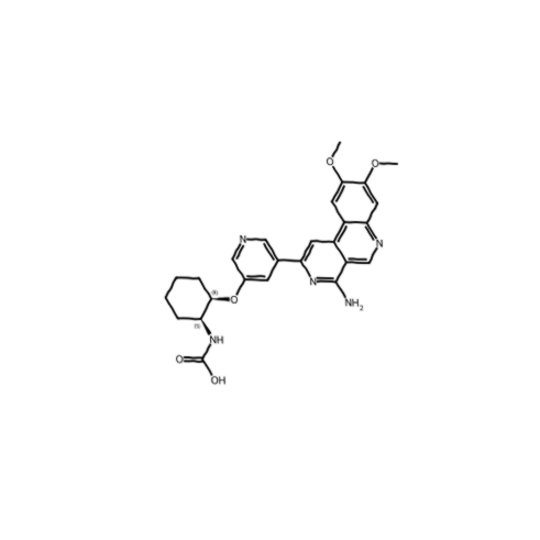 COc1cc2ncc3c(N)nc(-c4cncc(O[C@@H]5CCCC[C@@H]5NC(=O)O)c4)cc3c2cc1OC